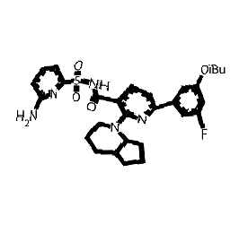 CC(C)COc1cc(F)cc(-c2ccc(C(=O)NS(=O)(=O)c3cccc(N)n3)c(N3CCCC4CCCC43)n2)c1